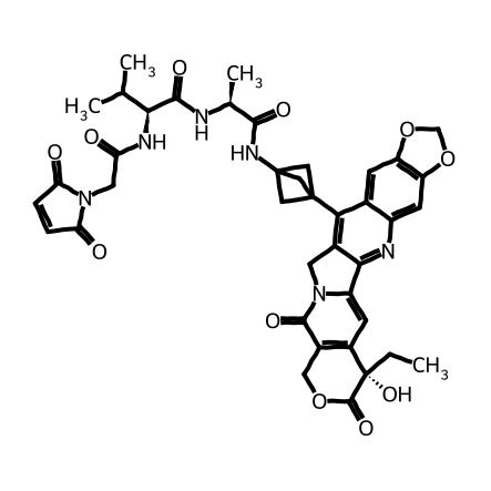 CC[C@@]1(O)C(=O)OCc2c1cc1n(c2=O)Cc2c-1nc1cc3c(cc1c2C12CC(NC(=O)[C@H](C)NC(=O)[C@@H](NC(=O)CN4C(=O)C=CC4=O)C(C)C)(C1)C2)OCO3